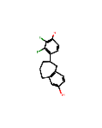 Oc1ccc2c(c1)CCCC(c1ccc(O)c(F)c1F)C2